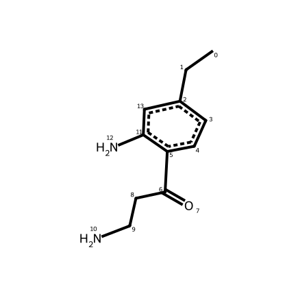 CCc1ccc(C(=O)CCN)c(N)c1